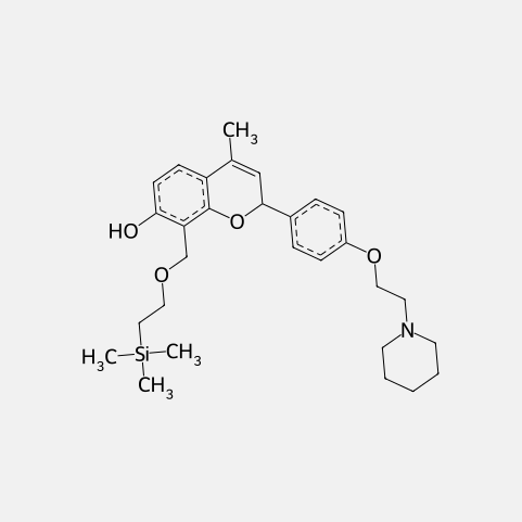 CC1=CC(c2ccc(OCCN3CCCCC3)cc2)Oc2c1ccc(O)c2COCC[Si](C)(C)C